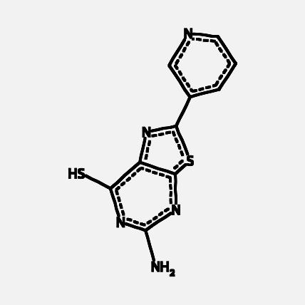 Nc1nc(S)c2nc(-c3cccnc3)sc2n1